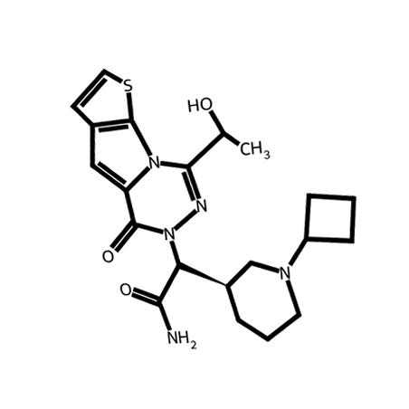 CC(O)c1nn(C(C(N)=O)[C@@H]2CCCN(C3CCC3)C2)c(=O)c2cc3ccsc3n12